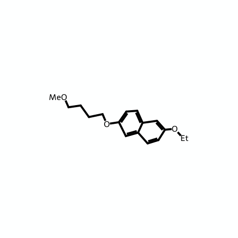 CCOc1ccc2cc(OCCCCOC)ccc2c1